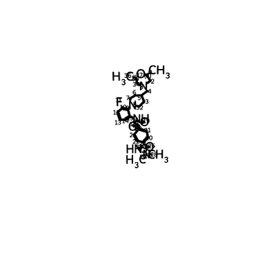 C[C@@H]1CN(CC2CCN(c3c(F)cccc3NS(=O)(=O)c3ccc(S(=N)(=O)N(C)C)cc3)CC2)C[C@H](C)O1